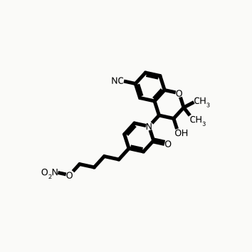 CC1(C)Oc2ccc(C#N)cc2C(n2ccc(CCCCO[N+](=O)[O-])cc2=O)C1O